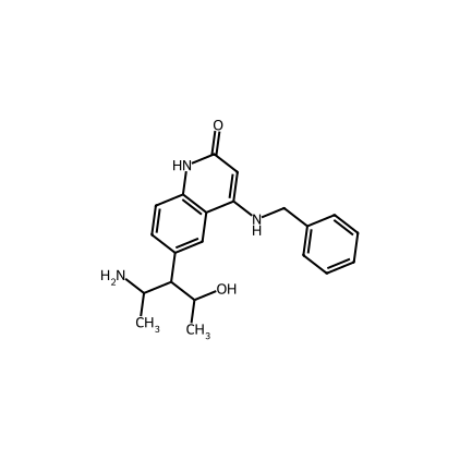 CC(N)C(c1ccc2[nH]c(=O)cc(NCc3ccccc3)c2c1)C(C)O